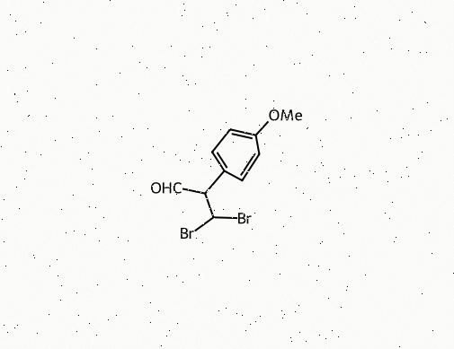 COc1ccc(C(C=O)C(Br)Br)cc1